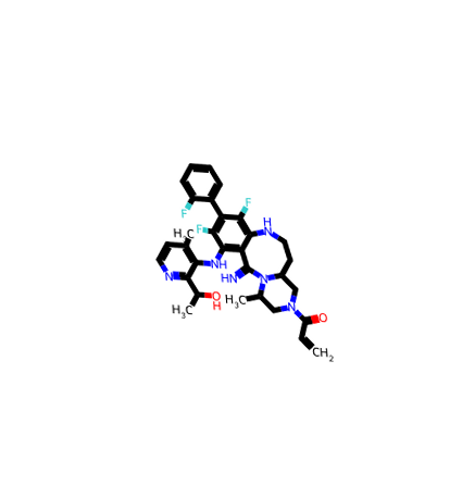 C=CC(=O)N1CC(C)N2C(=N)c3c(c(F)c(-c4ccccc4F)c(F)c3Nc3c(C)ccnc3C(C)O)NCCC2C1